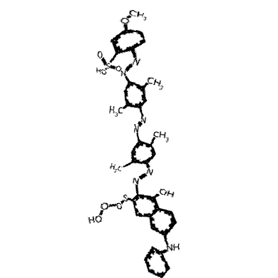 COc1ccc(N=Nc2cc(C)c(N=Nc3cc(C)c(N=Nc4c(SOOO)cc5cc(Nc6ccccc6)ccc5c4O)cc3C)cc2C)c(S(=O)(=O)O)c1